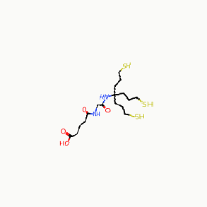 O=C(O)CCCC(=O)NCC(=O)NC(CCCS)(CCCS)CCCS